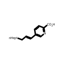 CCCCCCCC/C=C/c1ccc(C(=O)O)nc1